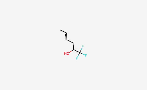 C/C=C/CC(O)C(F)(F)F